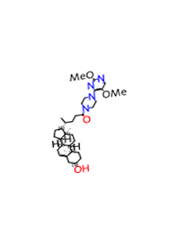 COc1ncc(OC)c(N2CCN(C(=O)CCC(C)[C@H]3CC[C@H]4[C@@H]5CC=C6C[C@@H](O)CC[C@]6(C)[C@H]5CC[C@]34C)CC2)n1